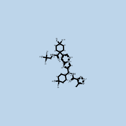 Cc1nonc1C(=O)N[C@H](c1cn2ncc(C3(C(=O)NCC(F)(F)F)CCC(F)(F)CC3)cc2n1)C1CCC(F)(F)CC1